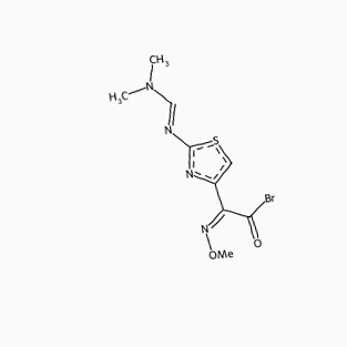 CO/N=C(\C(=O)Br)c1csc(/N=C/N(C)C)n1